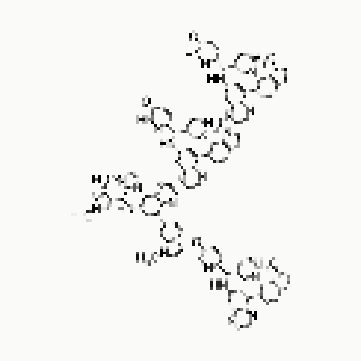 Cn1cc([C@H](Nc2cc(-c3ccc4ccn(C)c4c3)c3nccnc3c2)c2nccn2C)cn1.Cn1ccc2ccc(-c3cc(NC(c4cccnc4)c4ccc(=O)[nH]n4)cc4nccnc34)cc21.Cn1ccc2ccc(-c3cc(N[C@@H](c4cccnc4)c4ccc(=O)[nH]n4)cc4nccnc34)cc21.Cn1ccc2ccc(-c3cc(N[C@H](c4cccnc4)c4ccc(=O)[nH]n4)cc4nccnc34)cc21